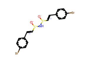 [O-][S+](/C=C/c1ccc(Br)cc1)N[S+]([O-])/C=C/c1ccc(Br)cc1